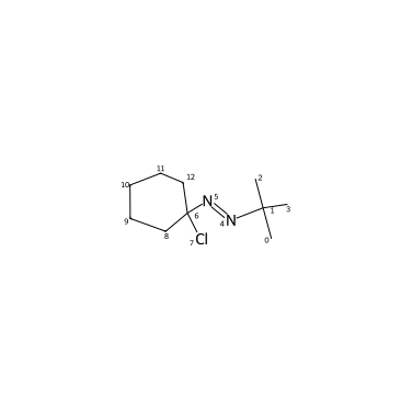 CC(C)(C)N=NC1(Cl)CCCCC1